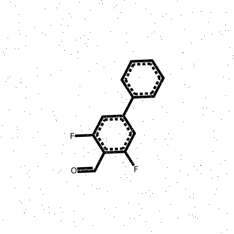 O=Cc1c(F)cc(-c2ccccc2)cc1F